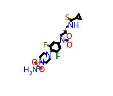 NS(=O)(=O)N1CCN(c2c(F)cc(N3C[C@H](CNC(=S)C4CC4)OC3=O)cc2F)CC1